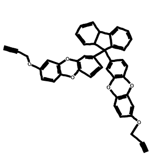 C#CCOc1ccc2c(c1)Oc1ccc(C3(c4ccc5c(c4)Oc4cc(OCC#C)ccc4O5)c4ccccc4C4C=CC=CC43)cc1O2